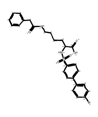 O=C(Cc1ccccc1)NCCCCC(NS(=O)(=O)c1ccc(-c2ccc(Br)cc2)cc1)C(=O)O